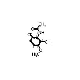 COc1ccc(Cl)c(NC(C)=O)c1C